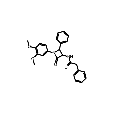 COc1ccc(N2C(=O)C(NC(=O)Cc3ccccc3)C2c2ccccc2)cc1OC